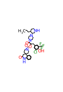 CCCC1CCNCC1N1CCN(C(=O)[C@@H](Cc2cc(Cl)c(O)c(C(F)(F)F)c2)OC(=O)N2CCC3(CC2)CC(=O)Nc2ccccc23)CC1